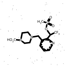 CS(=O)(=O)OC(c1ncccc1CN1CCN(C(=O)O)CC1)C(F)(F)F